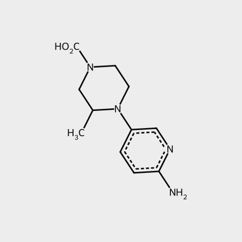 CC1CN(C(=O)O)CCN1c1ccc(N)nc1